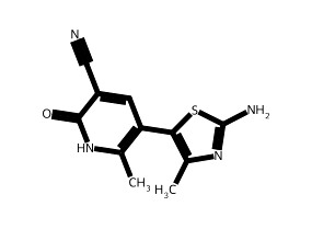 Cc1nc(N)sc1-c1cc(C#N)c(=O)[nH]c1C